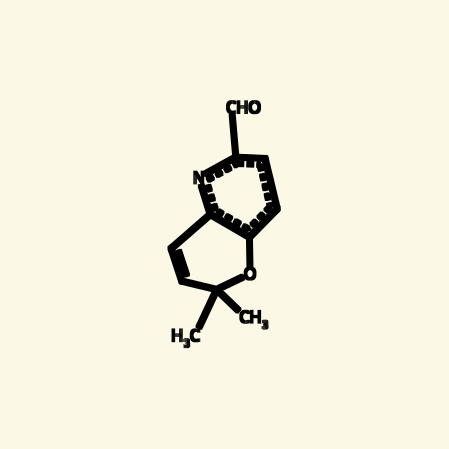 CC1(C)C=Cc2nc(C=O)ccc2O1